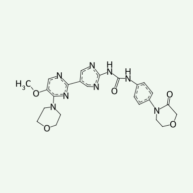 COc1cnc(-c2cnc(NC(=O)Nc3ccc(N4CCOCC4=O)cc3)nc2)nc1N1CCOCC1